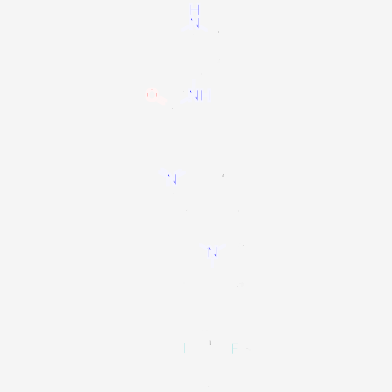 O=C(NC1CCNCC1)c1ccnc(CC2CCN(c3ccc(C(F)(F)F)cc3)CC2)c1